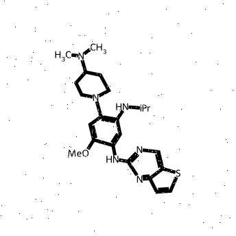 COc1cc(N2CCC(N(C)C)CC2)c(NC(C)C)cc1Nc1ncc2sccc2n1